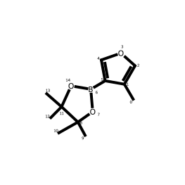 Cc1cocc1B1OC(C)(C)C(C)(C)O1